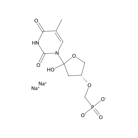 Cc1cn(C2(O)C[C@@H](OCP(=O)([O-])[O-])CO2)c(=O)[nH]c1=O.[Na+].[Na+]